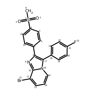 CS(=O)(=O)c1ccc(-c2nc3c(Br)cccn3c2-c2ccc(F)cc2)cc1